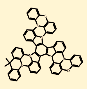 CC1(C)c2ccccc2B2c3c(cccc31)-n1c3c2cccc3c2c3c(c4cccc5c4n3-c3cccc4c3B5c3ccccc3O4)c3c(c4cccc5c4n3-c3cccc4c3B5c3ccccc3S4)c21